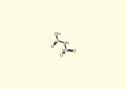 O=S(O)N[SH](=O)=O